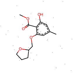 COC(=O)c1c(O)cc(C)cc1OCC1CCCO1